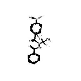 CC(C)(C)N(NC(=O)c1ccccc1)C(=O)c1ccc([N+](=O)[O-])cc1